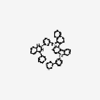 c1ccc(-c2cccc(-n3c4ccccc4c4c5c6ccc7ccccc7c6n(-c6cccc(-c7nc(-c8ccccc8)c8ccccc8n7)c6)c5ccc43)c2)cc1